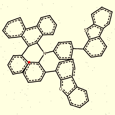 c1ccc(-c2c(N(c3ccc(-c4cccc5c4sc4ccccc45)cc3)c3ccccc3-c3cccc4c3oc3ccccc34)c3ccccc3c3ccccc23)cc1